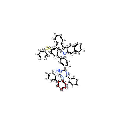 c1ccc(-c2ccccc2C2=NC(c3ccc(-n4c5cc6ccccc6cc5c5c6ccccc6ccc54)c(-c4ccc5sc6ccccc6c5c4)c3)NC(c3ccccc3-c3ccccc3)=N2)cc1